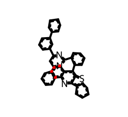 c1ccc(-c2cccc(-c3cc(-c4ccccc4)nc(-c4ccccc4-c4c5ccccc5nc5c4sc4ccccc45)n3)c2)cc1